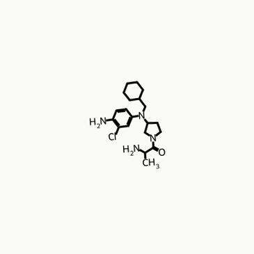 CC(N)C(=O)N1CCC(N(CC2CCCCC2)c2ccc(N)c(Cl)c2)C1